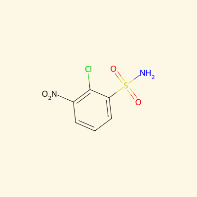 NS(=O)(=O)c1cccc([N+](=O)[O-])c1Cl